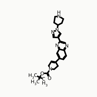 CC(C)(C)OC(=O)N1CC=C(c2ccc3ncc(-c4cnn(C5CCNCC5)c4)nc3c2)CC1